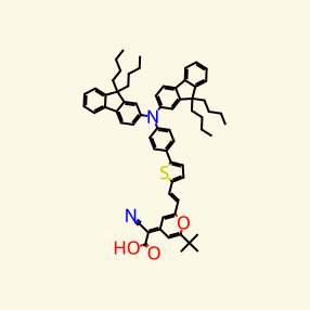 CCCCC1(CCCC)c2ccccc2-c2ccc(N(c3ccc(-c4ccc(/C=C/C5=CC(=C(\C#N)C(=O)O)/C=C(C(C)(C)C)O5)s4)cc3)c3ccc4c(c3)C(CCCC)(CCCC)c3ccccc3-4)cc21